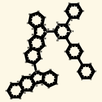 c1ccc(-c2ccc(-c3nc(-c4ccccc4)nc(-n4c5ccccc5c5cc6ccc(-n7c8ccccc8c8cc9ccccc9cc87)cc6cc54)n3)cc2)cc1